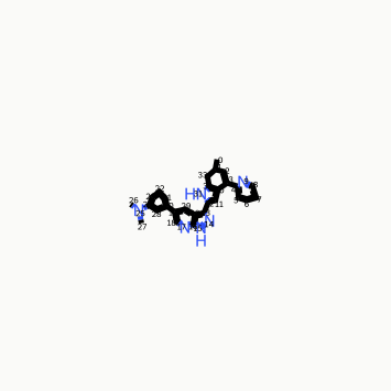 CC1C=C(c2ccccn2)c2cc(-c3n[nH]c4ncc(-c5cccc(N(C)C)c5)cc34)[nH]c2C1